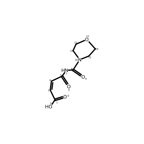 O=C(O)/C=C\C(=O)NC(=O)N1CCOCC1